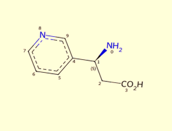 N[C@@H](CC(=O)O)c1cccnc1